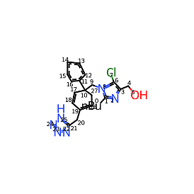 CCCCc1nc(CO)c(Cl)n1CC1(c2ccccc2)C=CC(Cc2nnn[nH]2)=CC1